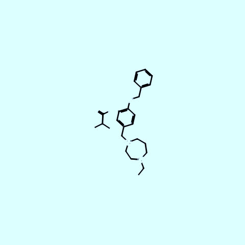 CC(C)C(=O)O.CCN1CCCN(Cc2ccc(OCc3ccccc3)cc2)CC1